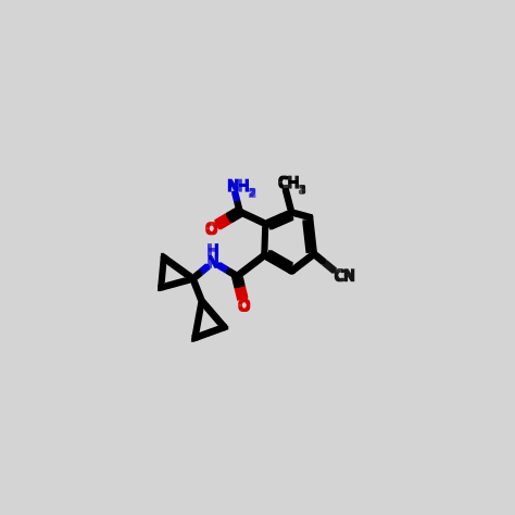 Cc1cc(C#N)cc(C(=O)NC2(C3CC3)CC2)c1C(N)=O